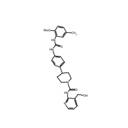 COc1ccc(C)cc1NC(=O)Nc1ccc(C2CCN(C(=O)Nc3ncccc3CO)CC2)cc1